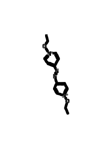 CCO[n+]1ccc(N=Nc2cc[n+](OCC)cc2)cc1